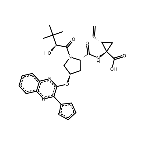 C=C[C@@H]1C[C@]1(NC(=O)[C@@H]1C[C@@H](Oc2nc3ccccc3nc2-c2cccs2)CN1C(=O)[C@@H](O)C(C)(C)C)C(=O)O